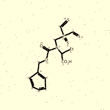 CCC(C(=O)O)N(CP(=S)(C=S)C=S)C(=O)OCc1ccccc1